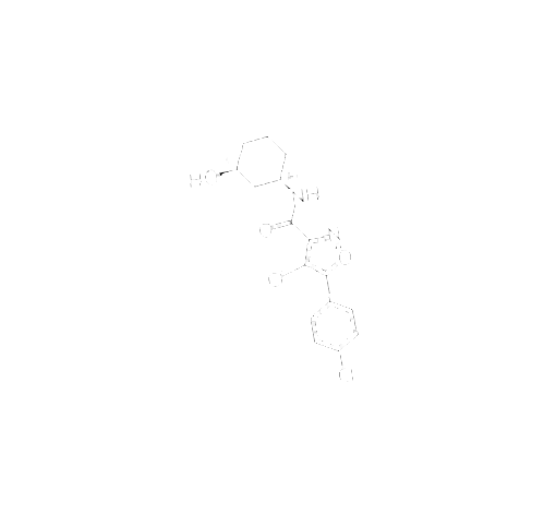 O=C(N[C@@H]1CCC[C@H](O)C1)c1noc(-c2ccc(Cl)cc2)c1Cl